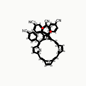 N#Cc1ccc(-c2c(-c3ccc(C#N)cc3)c3c(-c4ccc(C#N)cc4)c4nc(cc5ccc(cc6nc(cc2n3-c2ccc(C#N)cc2)C=C6)[nH]5)C=C4)cc1